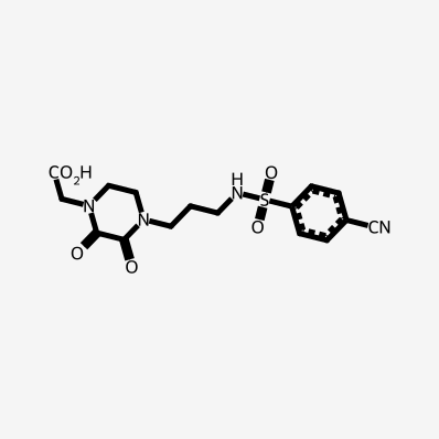 N#Cc1ccc(S(=O)(=O)NCCCN2CCN(CC(=O)O)C(=O)C2=O)cc1